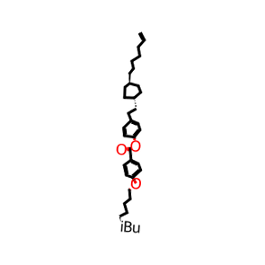 C=CCCCCC[C@H]1CC[C@H](CCc2ccc(OC(=O)c3ccc(OCCCCC[C@@H](C)CC)cc3)cc2)CC1